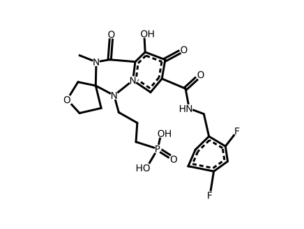 CN1C(=O)c2c(O)c(=O)c(C(=O)NCc3ccc(F)cc3F)cn2N(CCCP(=O)(O)O)C12CCOC2